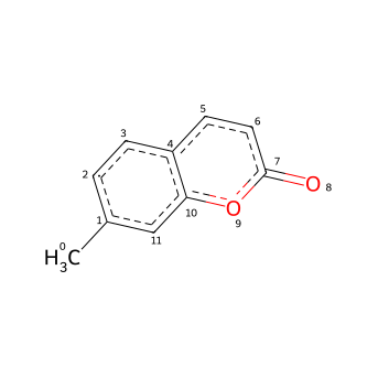 Cc1[c]cc2ccc(=O)oc2c1